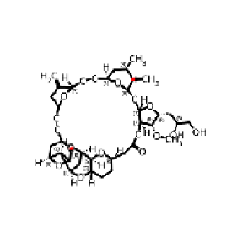 C=C1CC2CCC34C[C@@H]5OC(O3)[C@H]5[C@H]3C[C@@H](O4)[C@H]4O[C@H](CC[C@@H]4O3)CC(=O)C[C@@H]3[C@@H](OC)[C@@H](C[C@H](O)CO)O[C@H]3C[C@H]3O[C@@H](CC[C@@H]1O2)C[C@@H](C)C3=C